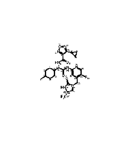 CC1CCC([C@H](NC(=O)c2nonc2C2CC2)C(=O)Nc2cc(CN3C[C@@H](C(F)(F)F)NC3=O)c(F)cn2)CC1